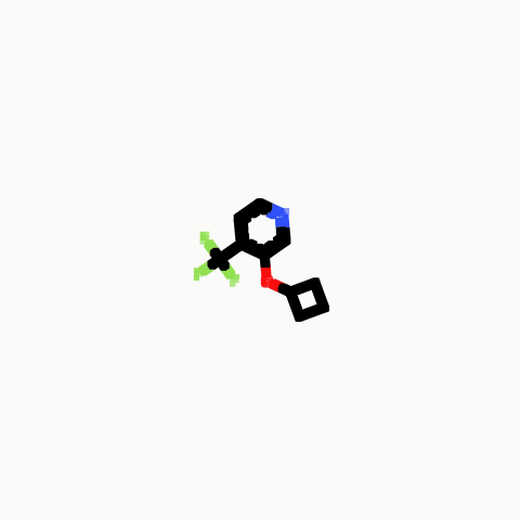 FC(F)(F)c1ccncc1OC1CCC1